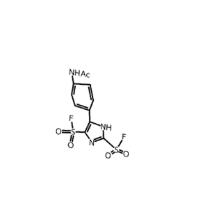 CC(=O)Nc1ccc(-c2[nH]c(S(=O)(=O)F)nc2S(=O)(=O)F)cc1